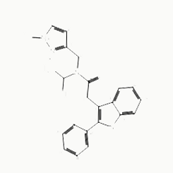 CC(C)N(Cc1ccn(C)n1)C(=O)Cc1c(-c2ccccc2)[nH]c2ccccc12